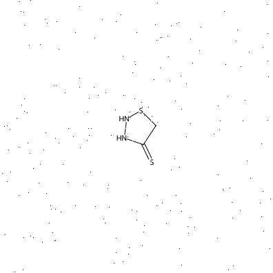 S=C1CSNN1